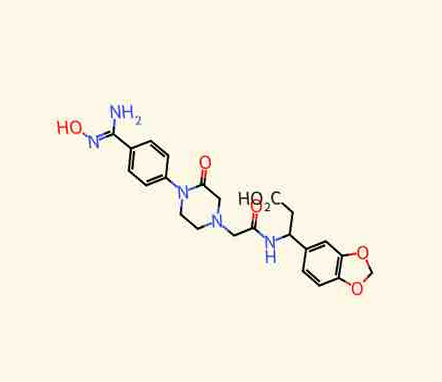 NC(=NO)c1ccc(N2CCN(CC(=O)NC(CC(=O)O)c3ccc4c(c3)OCO4)CC2=O)cc1